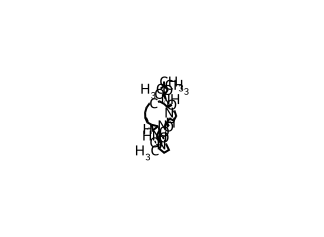 CC1CCCN1S(=O)(=O)NC(=O)[C@@]12C[C@H]1/C=C\CCCCC[C@H](NC(=O)OC(C)(C)C)C(=O)N1CCC[C@H]1C(=O)N2